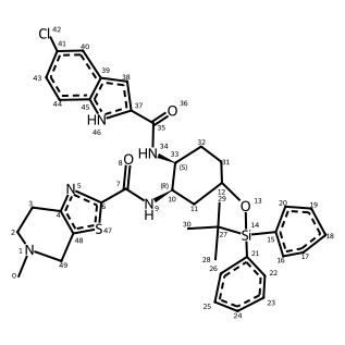 CN1CCc2nc(C(=O)N[C@@H]3CC(O[Si](c4ccccc4)(c4ccccc4)C(C)(C)C)CC[C@@H]3NC(=O)c3cc4cc(Cl)ccc4[nH]3)sc2C1